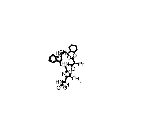 Cc1oc([C@@H](Cc2cn(C)c3ccccc23)NC(=O)[C@@H](C(=O)ON(C)C2CCCCC2)C(C)C)nc1-c1noc(=O)[nH]1